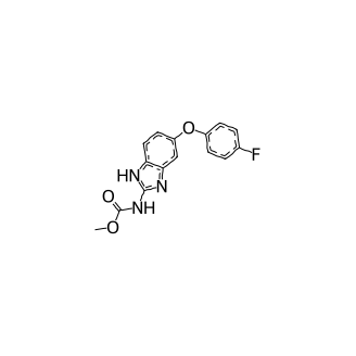 COC(=O)Nc1nc2cc(Oc3ccc(F)cc3)ccc2[nH]1